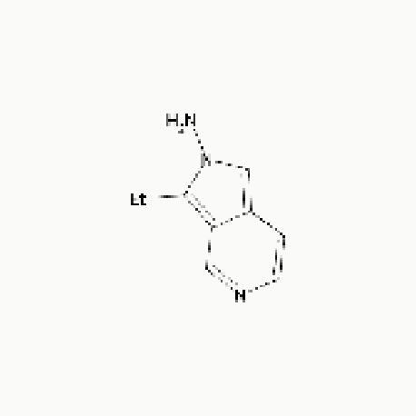 CCc1c2cnccc2cn1N